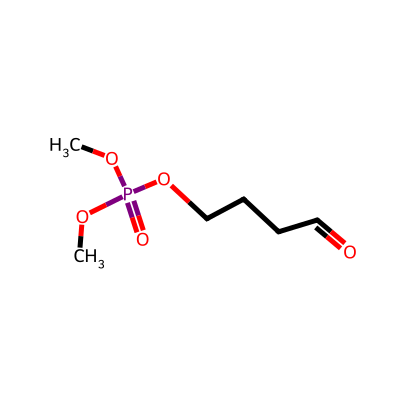 COP(=O)(OC)OCCCC=O